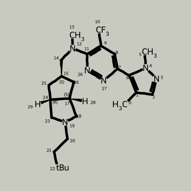 Cc1cnn(C)c1-c1cc(C(F)(F)F)c(N(C)C[C@H]2C[C@@H]3CN(CCC(C)(C)C)C[C@@H]3C2)nn1